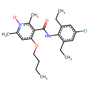 CCCCOc1cc(C)[n+]([O-])c(C)c1C(=O)Nc1c(CC)cc(Cl)cc1CC